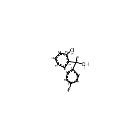 CC(O)(c1ccc(F)cc1)c1ccccc1Cl